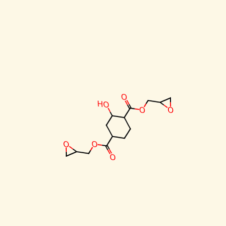 O=C(OCC1CO1)C1CCC(C(=O)OCC2CO2)C(O)C1